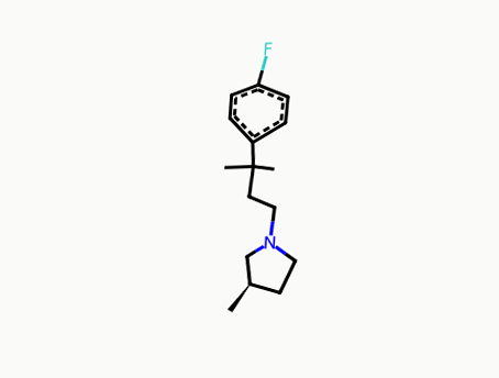 C[C@@H]1CCN(CCC(C)(C)c2ccc(F)cc2)C1